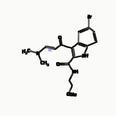 COCCNC(=O)c1[nH]c2ccc(Br)cc2c1C(=O)/C=C/N(C)C